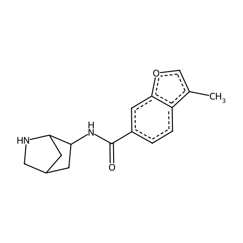 Cc1coc2cc(C(=O)NC3CC4CNC3C4)ccc12